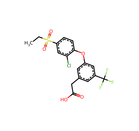 CCS(=O)(=O)c1ccc(Oc2cc(CC(=O)O)cc(C(F)(F)F)c2)c(Cl)c1